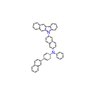 C1=CC(N(c2ccccc2)c2ccc3cc(-n4c5ccccc5c5cc6ccccc6cc54)ccc3c2)CC=C1c1ccc2ccccc2c1